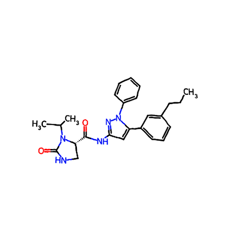 CCCc1cccc(-c2cc(NC(=O)[C@@H]3CNC(=O)N3C(C)C)nn2-c2ccccc2)c1